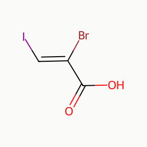 O=C(O)C(Br)=CI